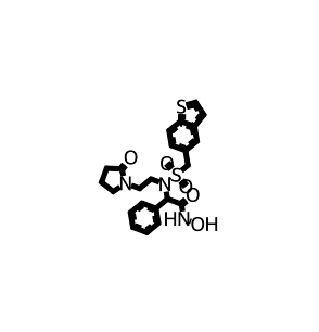 O=C(NO)C(c1ccccc1)N(CCN1CCCC1=O)S(=O)(=O)Cc1ccc2sccc2c1